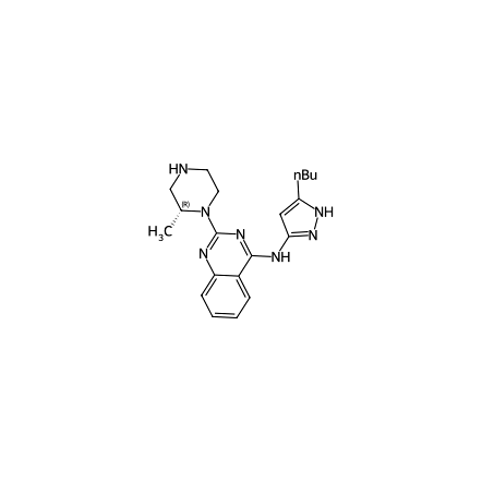 CCCCc1cc(Nc2nc(N3CCNC[C@H]3C)nc3ccccc23)n[nH]1